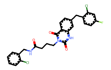 O=C(CCCn1c(=O)[nH]c2cc(Cc3ccc(F)cc3Cl)ccc2c1=O)NCc1ccccc1Cl